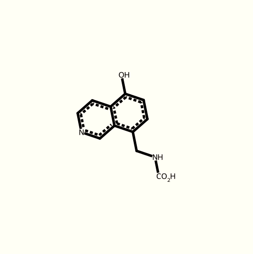 O=C(O)NCc1ccc(O)c2ccncc12